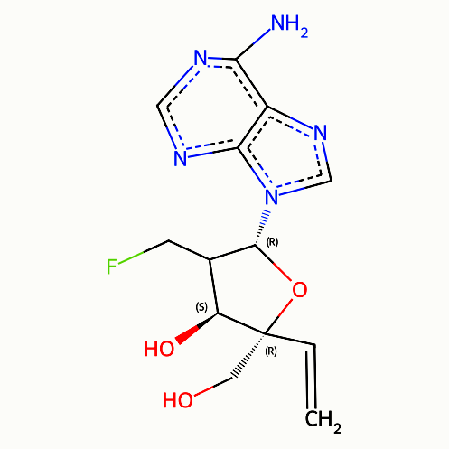 C=C[C@]1(CO)O[C@@H](n2cnc3c(N)ncnc32)C(CF)[C@@H]1O